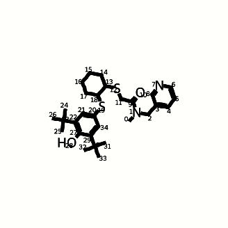 CN(Cc1cccnc1)C(=O)CSC1CCCCC1Sc1cc(C(C)(C)C)c(O)c(C(C)(C)C)c1